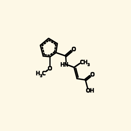 COc1ccccc1C(=O)N/C(C)=C/C(=O)O